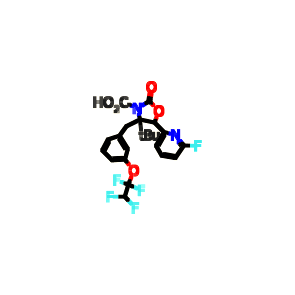 CC(C)(C)C1(Cc2cccc(OC(F)(F)C(F)F)c2)C(c2cccc(F)n2)OC(=O)N1C(=O)O